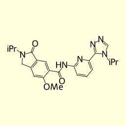 COc1cc2c(cc1C(=O)Nc1cccc(-c3nncn3C(C)C)n1)C(=O)N(C(C)C)C2